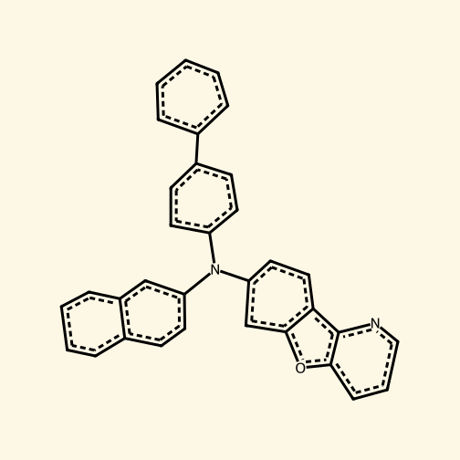 c1ccc(-c2ccc(N(c3ccc4ccccc4c3)c3ccc4c(c3)oc3cccnc34)cc2)cc1